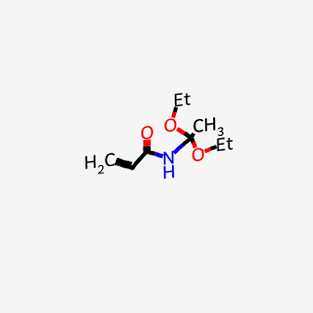 C=CC(=O)NC(C)(OCC)OCC